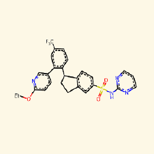 CCOc1ccc(-c2cc(C(F)(F)F)ccc2C2CCc3cc(S(=O)(=O)Nc4ncccn4)ccc32)cn1